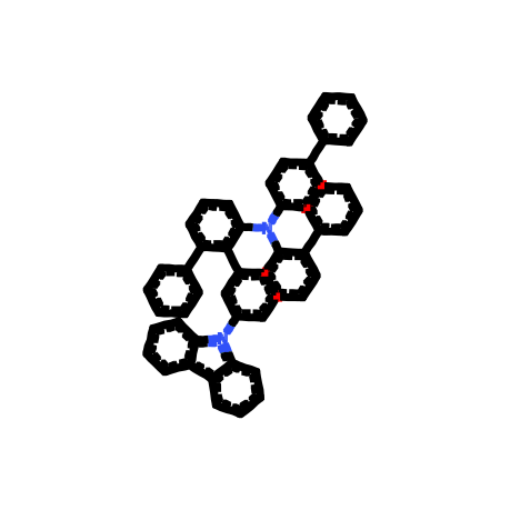 c1ccc(-c2ccc(N(c3ccccc3-c3ccccc3)c3cccc(-c4ccccc4)c3-c3cccc(-n4c5ccccc5c5ccccc54)c3)cc2)cc1